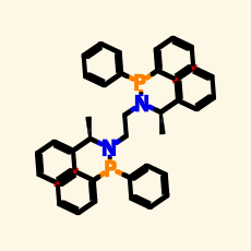 C[C@H](c1ccccc1)N(CCN([C@H](C)c1ccccc1)P(c1ccccc1)c1ccccc1)P(c1ccccc1)c1ccccc1